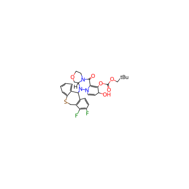 CC(C)(C)COC(=O)OC1=C2C(=O)N3CCOC[C@H]3N([C@@H]3c4ccccc4SCc4c3ccc(F)c4F)N2C=CC1O